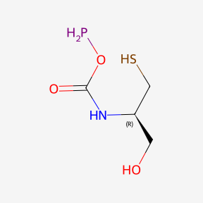 O=C(N[C@H](CO)CS)OP